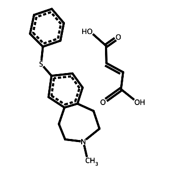 CN1CCc2ccc(Sc3ccccc3)cc2CC1.O=C(O)C=CC(=O)O